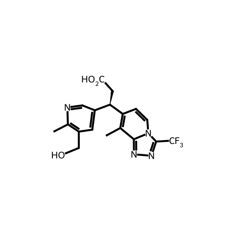 Cc1ncc([C@@H](CC(=O)O)c2ccn3c(C(F)(F)F)nnc3c2C)cc1CO